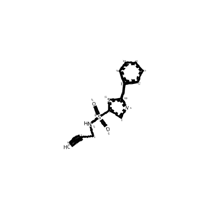 C#CCNS(=O)(=O)c1cnc(-c2ccccc2)s1